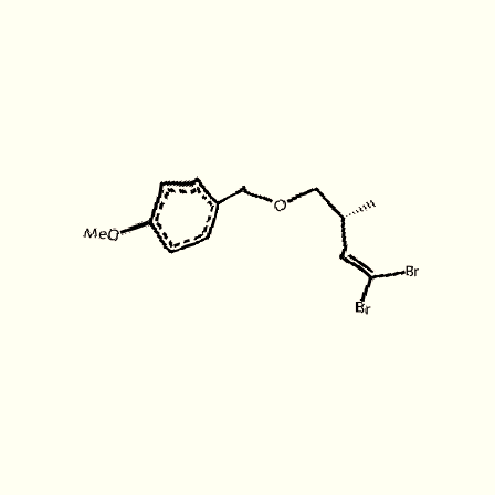 COc1ccc(COC[C@H](C)C=C(Br)Br)cc1